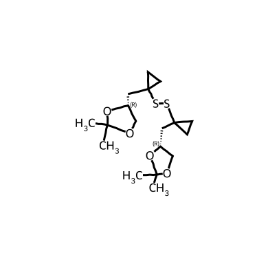 CC1(C)OC[C@@H](CC2(SSC3(C[C@@H]4COC(C)(C)O4)CC3)CC2)O1